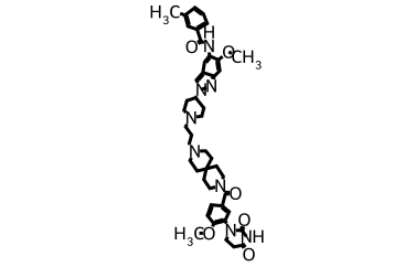 COc1cc2nn(C3CCN(CCCN4CCC5(CC4)CCN(C(=O)c4ccc(OC)c(N6CCC(=O)NC6=O)c4)CC5)CC3)cc2cc1NC(=O)c1cccc(C)c1